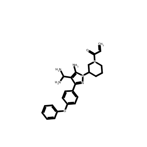 C=CC(=O)N1CCCC(n2nc(-c3ccc(Oc4ccccc4)cc3)c(C(N)N)c2N)C1